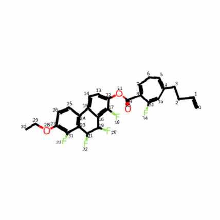 C=CCCC1=CCC=C(C(=O)Oc2ccc3c(c2F)C(F)C(F)c2c-3ccc(OCC)c2F)C(F)=C1